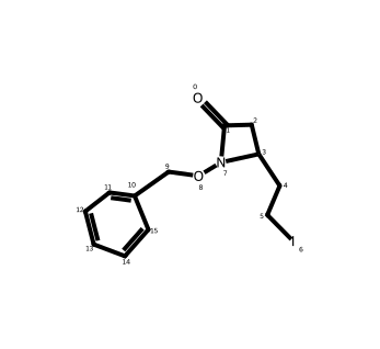 O=C1CC(CCI)N1OCc1ccccc1